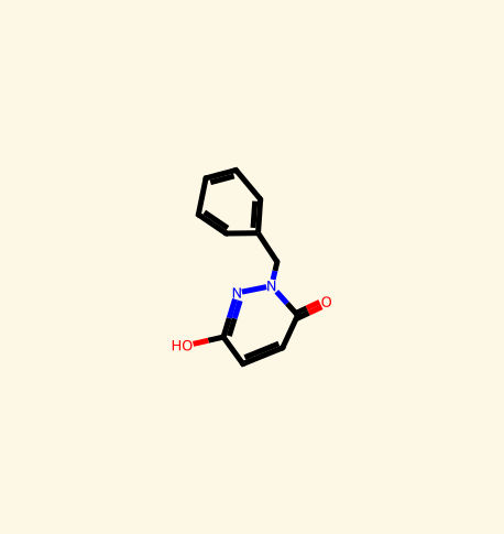 O=c1ccc(O)nn1Cc1ccccc1